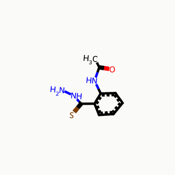 CC(=O)Nc1ccccc1C(=S)NN